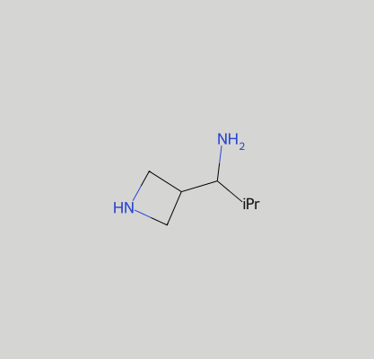 CC(C)C(N)C1CNC1